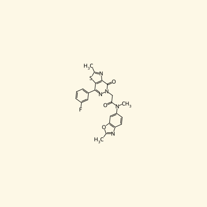 Cc1nc2ccc(N(C)C(=O)Cn3nc(-c4cccc(F)c4)c4sc(C)nc4c3=O)cc2o1